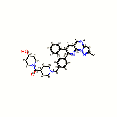 Cc1cc2ncc3cc(-c4ccccc4)c(-c4ccc(CN5CCC(C(=O)N6CCC(O)CC6)CC5)cc4)nc3n2n1